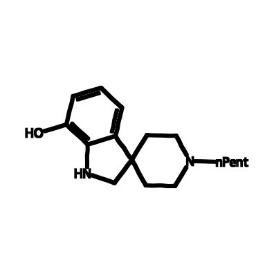 CCCCCN1CCC2(CC1)CNc1c(O)cccc12